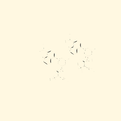 C[C@H]1C[C@@H](NC(=O)C(N)C(F)(F)F)CN(c2ccc(C(F)F)c3ncccc23)C1.C[C@H]1C[C@@H](NC(=O)[C@H](N)C(F)(F)F)CN(c2ccc(C(F)F)c3ncccc23)C1